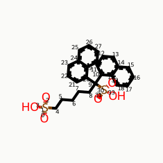 O=S(=O)(O)CCCCCC(c1cccc2ccccc12)(c1cccc2ccccc12)S(=O)(=O)O